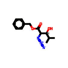 CC(C)[C@H](O)C(N=[N+]=[N-])C(=O)OCc1ccccc1